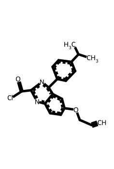 C#CCOc1ccc2nc(C(=O)Cl)nc(-c3ccc(C(C)C)cc3)c2c1